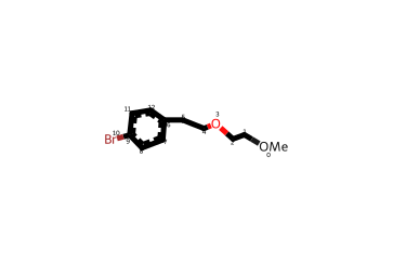 COCCOCCc1ccc(Br)cc1